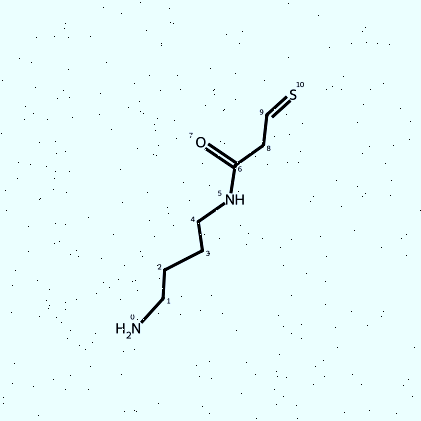 NCCCCNC(=O)CC=S